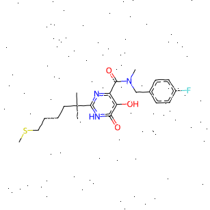 CSCCCCC(C)(C)c1nc(C(=O)N(C)Cc2ccc(F)cc2)c(O)c(=O)[nH]1